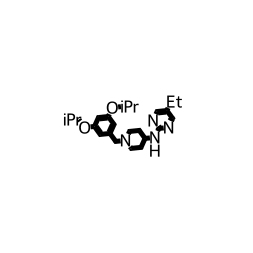 CCc1cnc(NC2CCN(Cc3cc(OC(C)C)cc(OC(C)C)c3)CC2)nc1